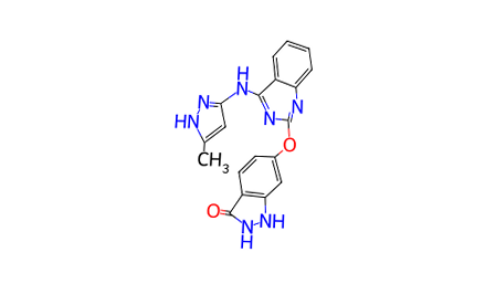 Cc1cc(Nc2nc(Oc3ccc4c(=O)[nH][nH]c4c3)nc3ccccc23)n[nH]1